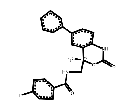 O=C1Nc2ccc(-c3ccccc3)cc2[C@](CNC(=O)c2ccc(F)cc2)(C(F)(F)F)O1